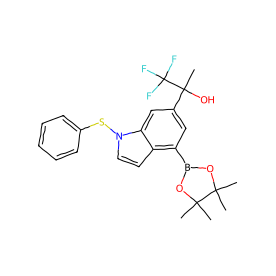 CC1(C)OB(c2cc(C(C)(O)C(F)(F)F)cc3c2ccn3Sc2ccccc2)OC1(C)C